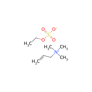 C=CC[N+](C)(C)C.CCOS(=O)(=O)[O-]